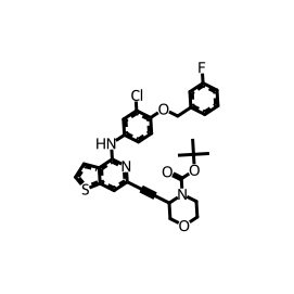 CC(C)(C)OC(=O)N1CCOCC1C#Cc1cc2sccc2c(Nc2ccc(OCc3cccc(F)c3)c(Cl)c2)n1